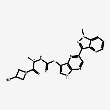 C[C@@H](NC(=O)Oc1c[nH]c2ncc(-c3nn(C)c4cccnc34)nc12)C(=O)N1CC(C#N)C1